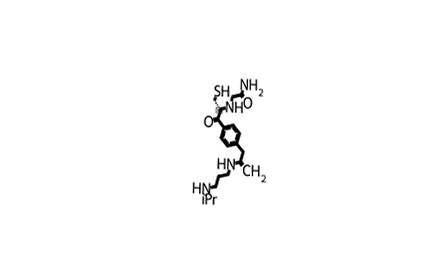 C=C(Cc1ccc(C(=O)[C@H](CS)NCC(N)=O)cc1)NCCCNC(C)C